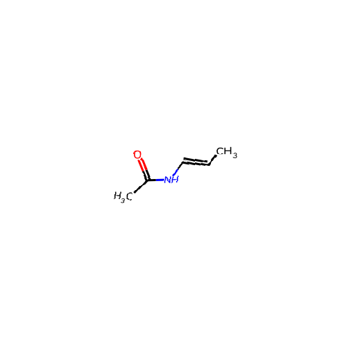 CC=CNC(C)=O